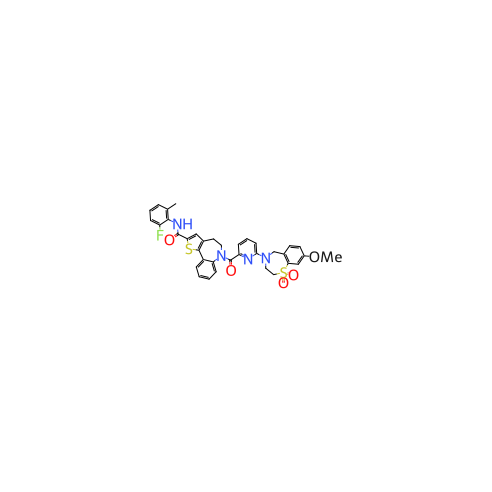 COc1ccc2c(c1)S(=O)(=O)CCN(c1cccc(C(=O)N3CCc4cc(C(=O)Nc5c(C)cccc5F)sc4-c4ccccc43)n1)C2